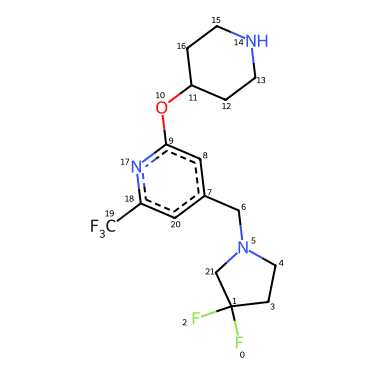 FC1(F)CCN(Cc2cc(OC3CCNCC3)nc(C(F)(F)F)c2)C1